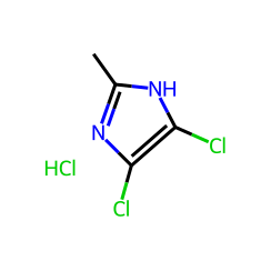 Cc1nc(Cl)c(Cl)[nH]1.Cl